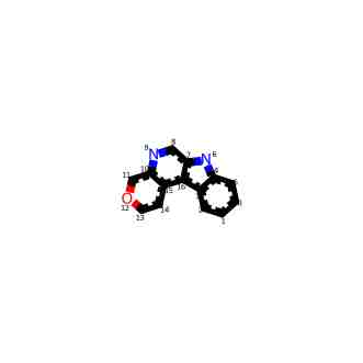 c1ccc2c(c1)nc1cnc3coccc3c12